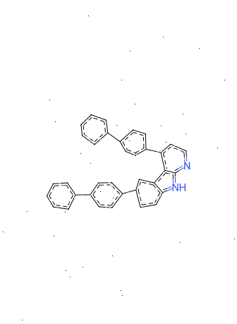 c1ccc(-c2ccc(-c3ccc4[nH]c5nccc(-c6ccc(-c7ccccc7)cc6)c5c4c3)cc2)cc1